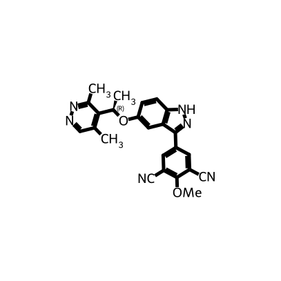 COc1c(C#N)cc(-c2n[nH]c3ccc(O[C@H](C)c4c(C)cnnc4C)cc23)cc1C#N